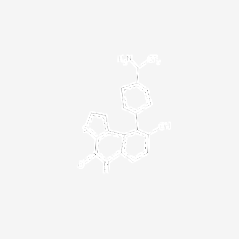 NC(c1ccc(-c2c(O)ccc3[nH]c(=O)c4sccc4c23)cc1)C(F)(F)F